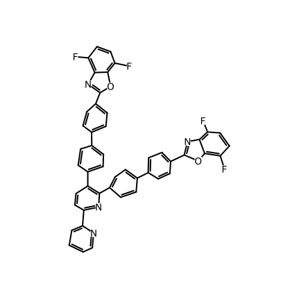 Fc1ccc(F)c2oc(-c3ccc(-c4ccc(-c5ccc(-c6ccccn6)nc5-c5ccc(-c6ccc(-c7nc8c(F)ccc(F)c8o7)cc6)cc5)cc4)cc3)nc12